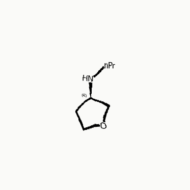 CCCN[C@@H]1CCOC1